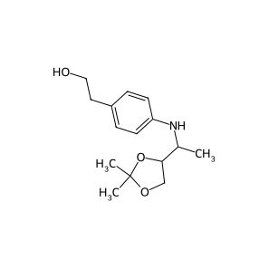 CC(Nc1ccc(CCO)cc1)C1COC(C)(C)O1